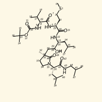 CSCC[C@H](NC(=O)[C@@H](NC(=O)OC(C)(C)C)C(C)C)C(=O)N[C@@H](CC(C)C)[C@@H](O)C[C@]1(C)CCN([C@@H](CC(C)C)C(=O)NCC(C)C)C1=O